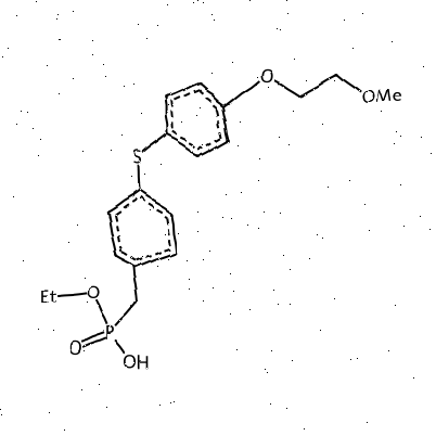 CCOP(=O)(O)Cc1ccc(Sc2ccc(OCCOC)cc2)cc1